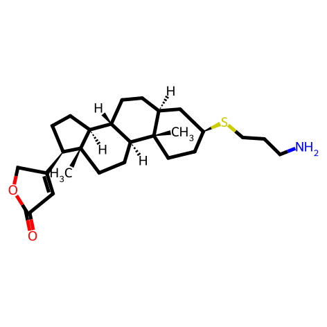 C[C@]12CC[C@H](SCCCN)C[C@@H]1CC[C@@H]1[C@@H]2CC[C@]2(C)[C@@H](C3=CC(=O)OC3)CC[C@@H]12